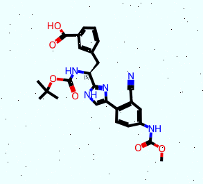 COC(=O)Nc1ccc(-c2c[nH]c([C@H](Cc3cccc(C(=O)O)c3)NC(=O)OC(C)(C)C)n2)c(C#N)c1